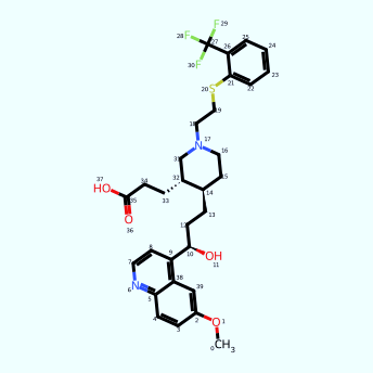 COc1ccc2nccc([C@H](O)CC[C@@H]3CCN(CCSc4ccccc4C(F)(F)F)C[C@H]3CCC(=O)O)c2c1